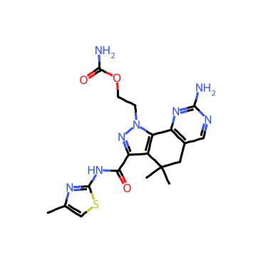 Cc1csc(NC(=O)c2nn(CCOC(N)=O)c3c2C(C)(C)Cc2cnc(N)nc2-3)n1